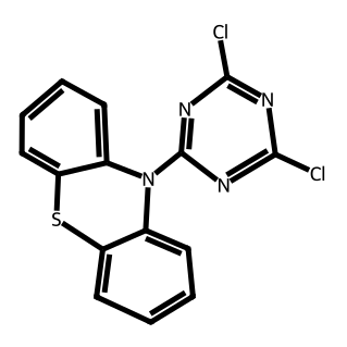 Clc1nc(Cl)nc(N2c3ccccc3Sc3ccccc32)n1